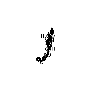 C[C@H](N(Cc1ccc(F)cc1)C(=O)CN1C(=O)O[C@@]2(CCc3cc(NC(=O)CCC(=O)NCc4ccc(C(=O)c5ccccc5)cc4)ccc32)C1=O)C(F)(F)F